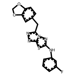 Fc1cccc(Nc2nn3c(Cc4ccc5c(c4)OCO5)nnc3s2)c1